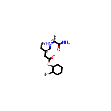 CC[C@H](NC[C@@H](CC(=O)OC1CCCCC1C(C)C)CC(C)C)C(N)=O